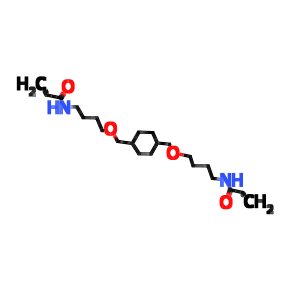 C=CC(=O)NCCCCOCC1CCC(COCCCCNC(=O)C=C)CC1